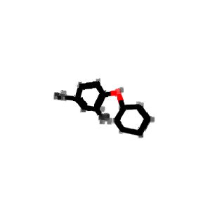 N#Cc1ccc(OC2CCCCC2)c([N+](=O)[O-])c1